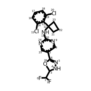 FC(F)C1NN=C(c2cnc(NC3(c4c(Cl)cccc4Cl)CCC3)nc2)O1